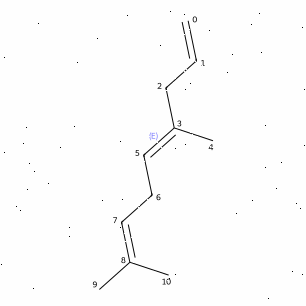 C=CC/C(C)=C/CC=C(C)C